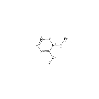 CCOC1=CC=NCN1OCC